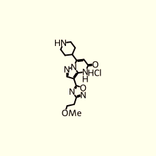 COCCc1noc(-c2cnn3c(C4CCNCC4)cc(=O)[nH]c23)n1.Cl